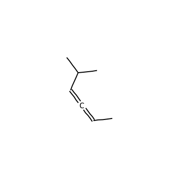 CC=C=CC(C)C